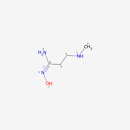 CNCC/C(N)=N\O